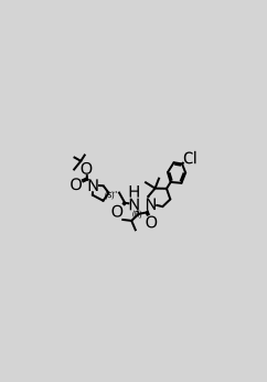 CC(C)[C@@H](NC(=O)C[C@@H]1CCN(C(=O)OC(C)(C)C)C1)C(=O)N1CCC(c2ccc(Cl)cc2)C(C)(C)C1